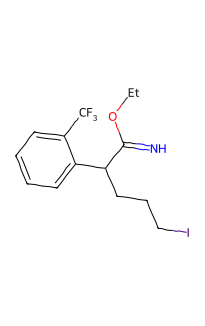 CCOC(=N)C(CCCI)c1ccccc1C(F)(F)F